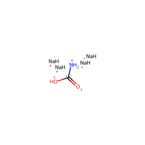 NC(=O)O.[NaH].[NaH].[NaH].[NaH]